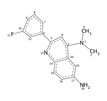 CN(C)c1cc(-c2cccc(F)c2)nc2ccc(N)cc12